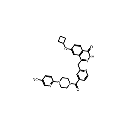 N#Cc1ccc(N2CCN(C(=O)c3ccnc(Cc4n[nH]c(=O)c5ccc(OC6CCC6)cc45)c3)CC2)nc1